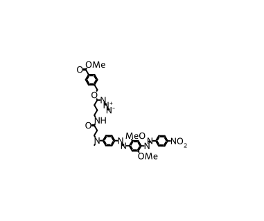 COC(=O)c1ccc(COC(CCCNC(=O)CCN(C)c2ccc(/N=N/c3cc(OC)c(/N=N/c4ccc([N+](=O)[O-])cc4)cc3OC)cc2)N=[N+]=[N-])cc1